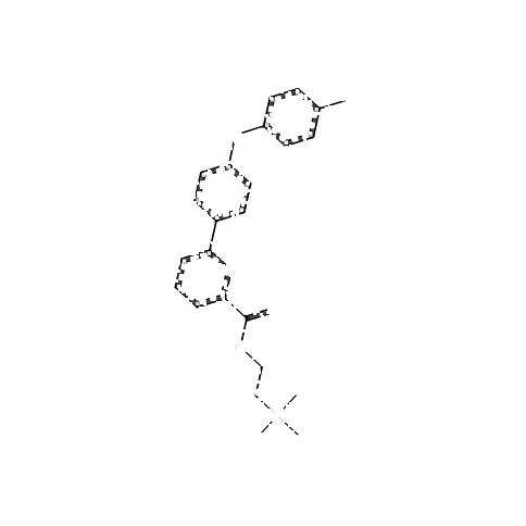 C[N+](C)(C)CCNC(=O)c1cccc(-c2ccc(Oc3ccc(F)cc3)cc2)n1